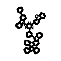 c1ccc(-c2ccc3c(c2)c2ccccc2n3-c2nc(-c3cccc(-n4c5ccccc5c5ccc6c(c54)-c4ccccc4C64c5ccccc5-c5ccccc54)c3)nc(-c3ccc4c(c3)oc3ccccc34)n2)cc1